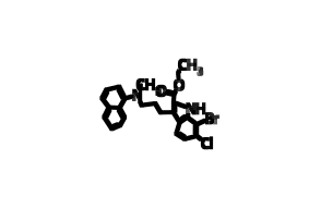 CCOC(=O)c1[nH]c2c(Br)c(Cl)ccc2c1CCCN(C)c1cccc2ccccc12